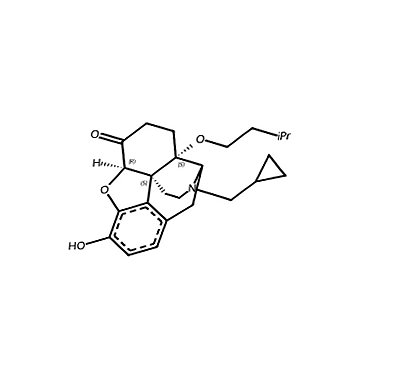 CC(C)CCO[C@@]12CCC(=O)[C@@H]3Oc4c(O)ccc5c4[C@@]31CCN(CC1CC1)C2C5